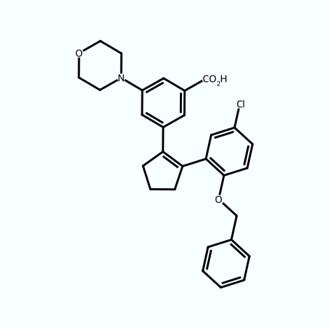 O=C(O)c1cc(C2=C(c3cc(Cl)ccc3OCc3ccccc3)CCC2)cc(N2CCOCC2)c1